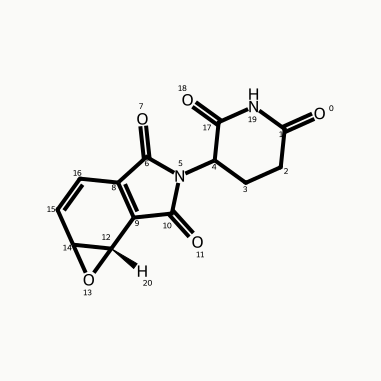 O=C1CCC(N2C(=O)C3=C(C2=O)[C@@H]2OC2C=C3)C(=O)N1